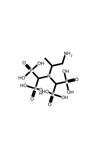 CC(CN)N(C(P(=O)(O)O)P(=O)(O)O)C(P(=O)(O)O)P(=O)(O)O